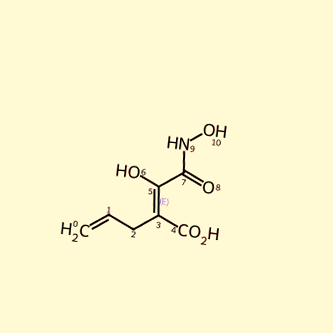 C=CC/C(C(=O)O)=C(\O)C(=O)NO